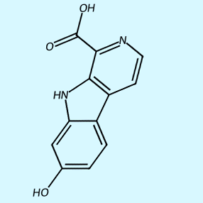 O=C(O)c1nccc2c1[nH]c1cc(O)ccc12